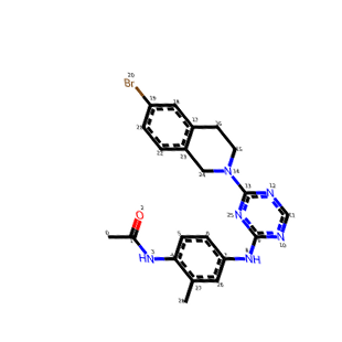 CC(=O)Nc1ccc(Nc2ncnc(N3CCc4cc(Br)ccc4C3)n2)cc1C